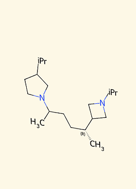 CC(C)C1CCN(C(C)CC[C@@H](C)C2CN(C(C)C)C2)C1